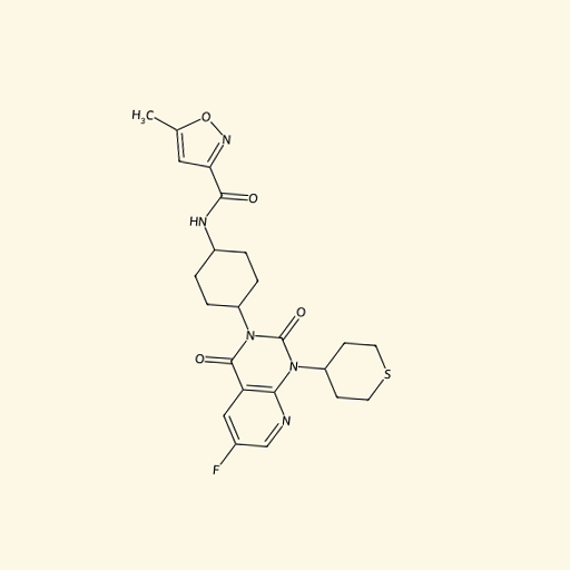 Cc1cc(C(=O)NC2CCC(n3c(=O)c4cc(F)cnc4n(C4CCSCC4)c3=O)CC2)no1